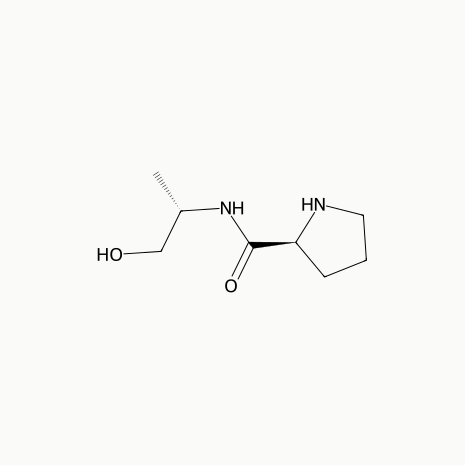 C[C@@H](CO)NC(=O)[C@@H]1CCCN1